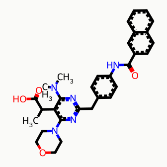 CC(C(=O)O)c1c(N(C)C)nc(Cc2ccc(NC(=O)c3ccc4ccccc4c3)cc2)nc1N1CCOCC1